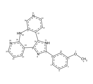 COc1cccc(-c2nc3c([nH]2)-c2ccncc2Nc2ncccc2-3)c1